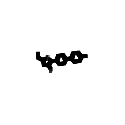 CCc1cc(F)c(-c2ccc(-c3ccc(C)cc3)cc2)s1